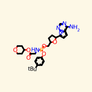 CC(C)(C)c1ccc(OP(NCC(=O)OC2CCOCC2)OCC2CCC(c3ccc4c(N)ncnn34)O2)cc1